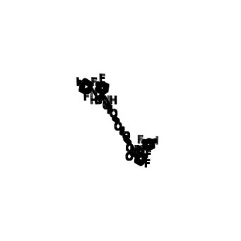 O=C(NOCCOCCOCCOCCONC(=O)c1ccc(F)c(F)c1Nc1ccc(I)cc1F)c1ccc(F)c(F)c1Nc1ccc(I)cc1F